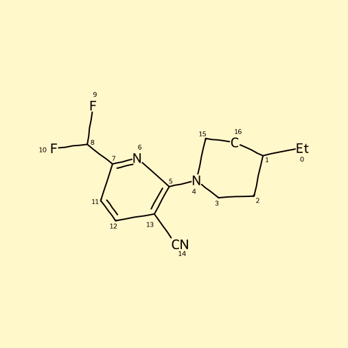 CCC1CCN(c2nc(C(F)F)ccc2C#N)CC1